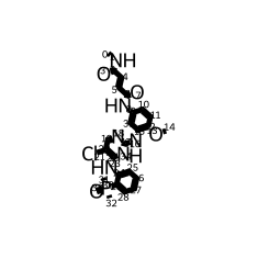 CNC(=O)C=CC(=O)Nc1ccc(OC)c(Nc2ncc(Cl)c(Nc3ccccc3P(C)(C)=O)n2)c1